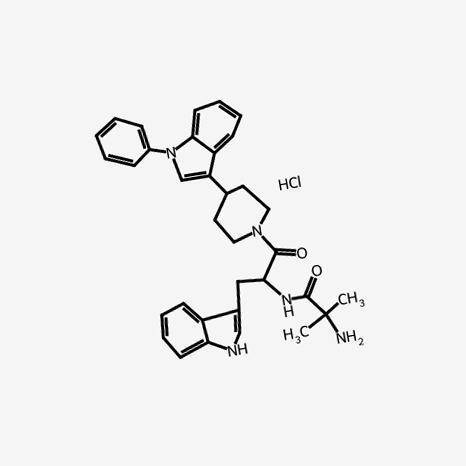 CC(C)(N)C(=O)NC(Cc1c[nH]c2ccccc12)C(=O)N1CCC(c2cn(-c3ccccc3)c3ccccc23)CC1.Cl